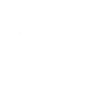 CN(C1=Nc2ccccc2CS1)C1CCN(CCCOCCc2ccc(F)c(F)c2)CC1.O=C(O)/C=C\C(=O)O